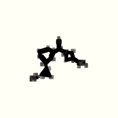 CC1CN(C(=O)c2cccc([C@H]3C[C@@H]3C(C)C)c2)C1